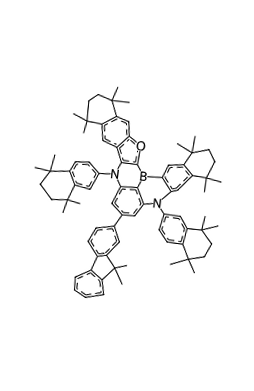 CC1(C)CCC(C)(C)c2cc(N3c4cc5c(cc4B4c6oc7cc8c(cc7c6N(c6ccc7c(c6)C(C)(C)CCC7(C)C)c6cc(-c7ccc9c(c7)C(C)(C)c7ccccc7-9)cc3c64)C(C)(C)CCC8(C)C)C(C)(C)CCC5(C)C)ccc21